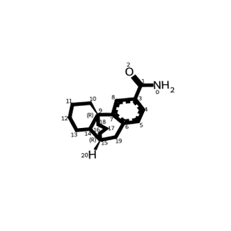 NC(=O)c1ccc2c(c1)[C@@]13CCCCC1[C@H](CCC3)C2